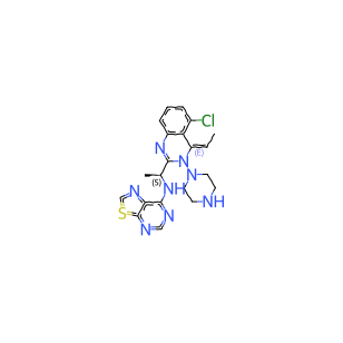 C/C=C1\c2c(Cl)cccc2N=C([C@H](C)Nc2ncnc3scnc23)N1N1CCNCC1